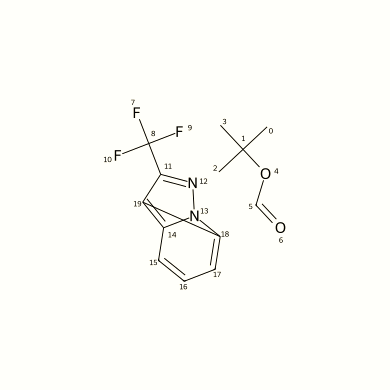 CC(C)(C)OC=O.FC(F)(F)c1nn2c3cccc2c13